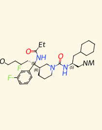 CCC(=O)N[C@](CCCCOC)(c1cccc(F)c1F)[C@@H]1CCCN(C(=O)N[C@H](CNC)CC2CCCCC2)C1